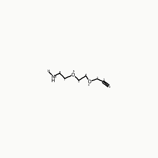 C#CCOCCOCCNC